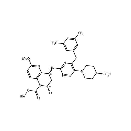 CC[C@@H]1C[C@H](Nc2ncc(N3CCC(C(=O)O)CC3)c(Cc3cc(C(F)(F)F)cc(C(F)(F)F)c3)n2)c2nc(OC)ccc2N1C(=O)OC(C)(C)C